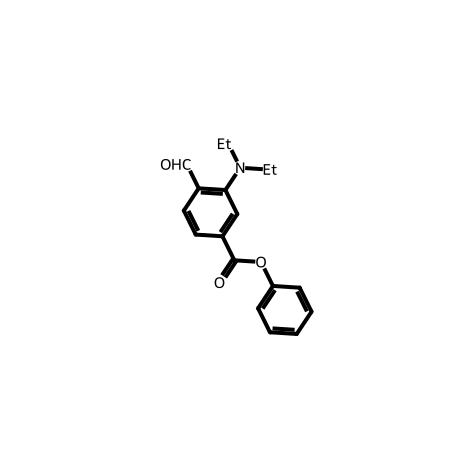 CCN(CC)c1cc(C(=O)Oc2ccccc2)ccc1C=O